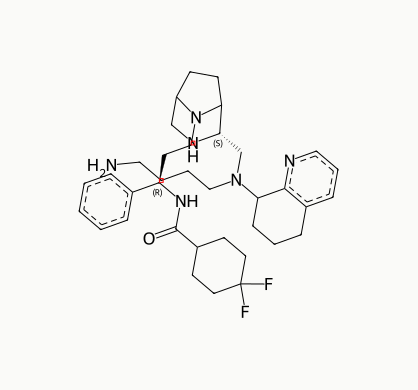 NCCCCN(C[C@@H]1NCC2CCC1N2CC[C@@H](NC(=O)C1CCC(F)(F)CC1)c1ccccc1)C1CCCc2cccnc21